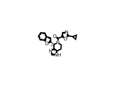 O=C(c1cnc(C2CC2)o1)N1CCc2[nH]cnc2[C@H]1c1cc2ccccc2o1